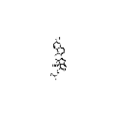 C=C1C=C2c3ccc4cc(O)ccc4c3CC[C@]2(C)[C@@]1(O)C(=O)COC(C)=O